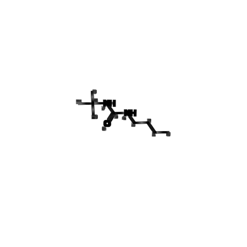 CCCCNC(=O)NC(C)(C)C